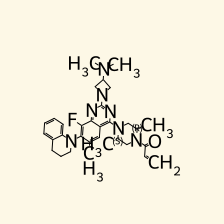 C=CC(=O)N1C[C@H](C)N(c2nc(N3CC(N(C)C)C3)nc3c(F)c(N4CCCc5ccccc54)c(C)cc23)C[C@H]1C